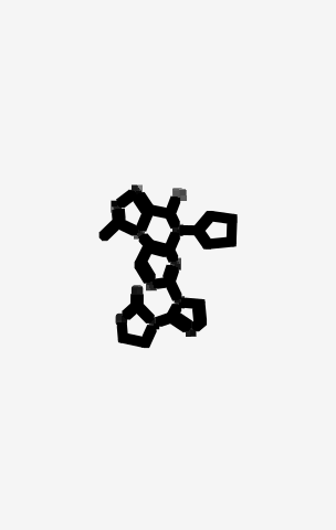 CCC1c2nnc(C)n2-c2cnc(-n3ccnc3N3CCOC3=O)nc2N1C1CCCC1